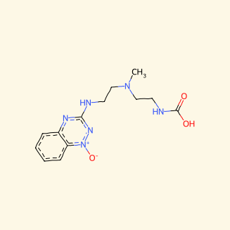 CN(CCNC(=O)O)CCNc1nc2ccccc2[n+]([O-])n1